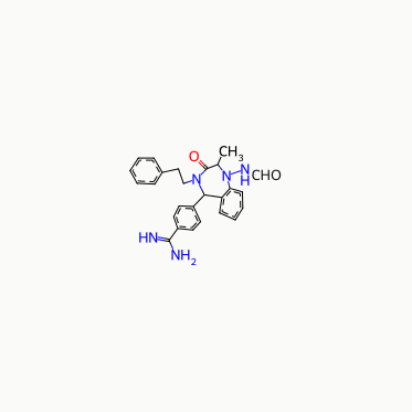 CC1C(=O)N(CCc2ccccc2)C(c2ccc(C(=N)N)cc2)c2ccccc2N1NC=O